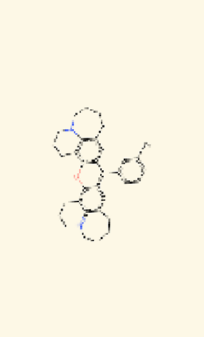 CC(C)c1cccc(C2=c3cc4c5c(c3Oc3c2cc2c6c3CCCN6CCCC2)CCC[N+]=5CCCC4)c1